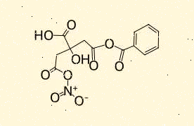 O=C(CC(O)(CC(=O)O[N+](=O)[O-])C(=O)O)OC(=O)c1ccccc1